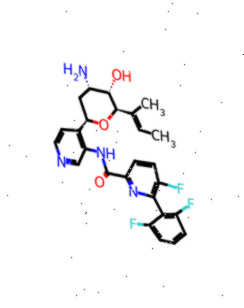 C/C=C(\C)[C@H]1O[C@@H](c2ccncc2NC(=O)c2ccc(F)c(-c3c(F)cccc3F)n2)C[C@H](N)[C@@H]1O